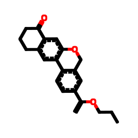 C=C(OCCC)c1ccc2c(c1)COc1cc3c(cc1-2)CCCC3=O